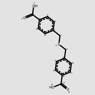 O=C(O)c1ccc(CSCc2ccc(C(=O)O)cc2)cc1